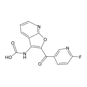 O=C(O)Nc1c(C(=O)c2ccc(F)nc2)oc2ncccc12